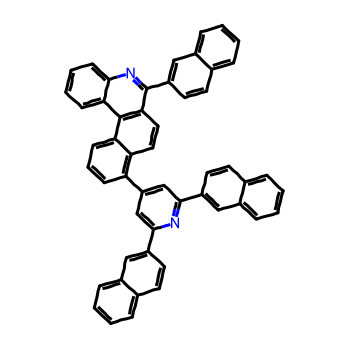 c1ccc2cc(-c3cc(-c4cccc5c4ccc4c(-c6ccc7ccccc7c6)nc6ccccc6c45)cc(-c4ccc5ccccc5c4)n3)ccc2c1